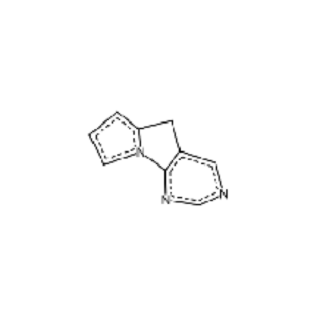 c1cc2n(c1)-c1ncncc1C2